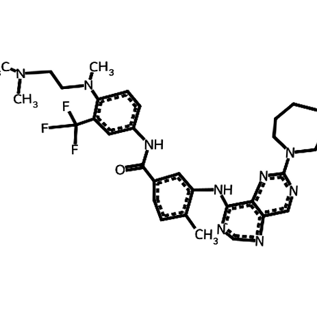 Cc1ccc(C(=O)Nc2ccc(N(C)CCN(C)C)c(C(F)(F)F)c2)cc1Nc1ncnc2cnc(N3CCCCCC3)nc12